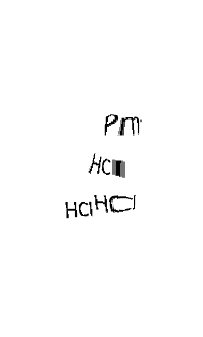 Cl.Cl.Cl.[Pm]